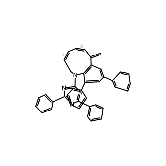 C=C1/C=C\C=C/CN(c2nc(-c3ccccc3)nc(-c3ccccc3)n2)c2c1cc(-c1ccccc1)cc2-c1ccccc1